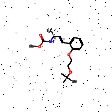 CC(C)(C)OC(=O)N[C@@H](/C=C/c1ccccc1OCCO[Si](C)(C)C(C)(C)C)C(F)(F)F